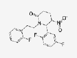 O=C1CCC([N+](=O)[O-])C(c2cc(F)ccc2F)N1CCc1ccccc1F